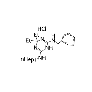 CCCCCCCNC1=NC(CC)(CC)N=C(NCc2ccccc2)N1.Cl